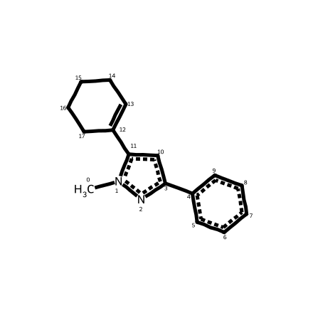 Cn1nc(-c2ccccc2)cc1C1=CCCCC1